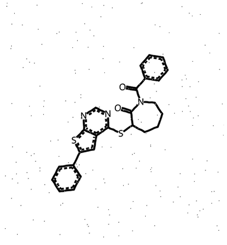 O=C(c1ccccc1)N1CCCCC(Sc2ncnc3sc(-c4ccccc4)cc23)C1=O